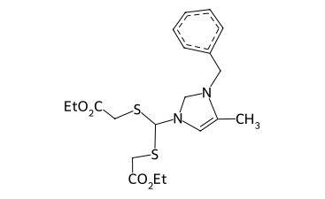 CCOC(=O)CSC(SCC(=O)OCC)N1C=C(C)N(Cc2ccccc2)C1